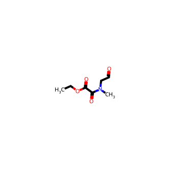 CCOC(=O)C(=O)N(C)CC=O